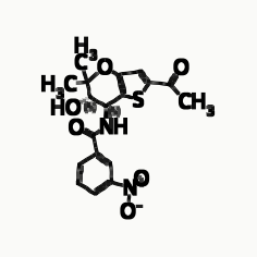 CC(=O)c1cc2c(s1)[C@@H](NC(=O)c1cccc([N+](=O)[O-])c1)[C@H](O)C(C)(C)O2